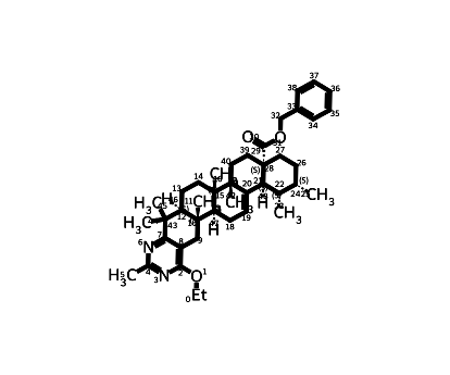 CCOc1nc(C)nc2c1C[C@]1(C)[C@H](CC[C@@]3(C)[C@H]1CC=C1[C@@H]4[C@@H](C)[C@@H](C)CC[C@]4(C(=O)OCc4ccccc4)CC[C@]13C)C2(C)C